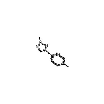 Cc1ccc(-c2cnn(C)n2)nc1